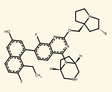 CCc1c(F)ccc2cc(O)cc(-c3ccc4c(N5[C@@H]6CC[C@H]5CNC6)nc(OC[C@@]56CCCN5C[C@H](F)C6)nc4c3F)c12